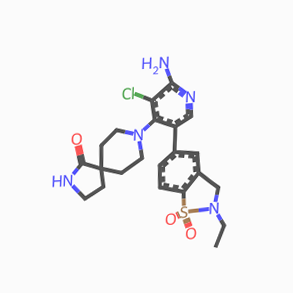 CCN1Cc2cc(-c3cnc(N)c(Cl)c3N3CCC4(CCNC4=O)CC3)ccc2S1(=O)=O